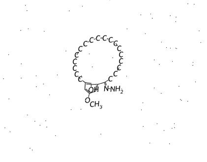 COc1cc2c(O)c(c1)C(=NN)CCCCCCCCCCCCCCCCCC2